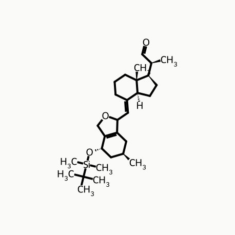 C[C@@H]1CC2=C(COC2/C=C2\CCC[C@]3(C)[C@@H]([C@H](C)C=O)CC[C@@H]23)[C@@H](O[Si](C)(C)C(C)(C)C)C1